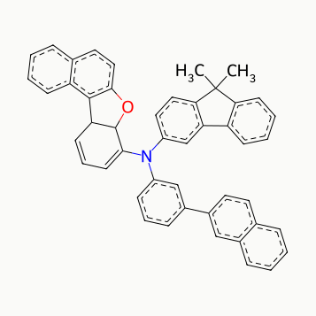 CC1(C)c2ccccc2-c2cc(N(C3=CC=CC4c5c(ccc6ccccc56)OC34)c3cccc(-c4ccc5ccccc5c4)c3)ccc21